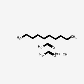 CC=O.CC=O.CCCCCCCCCC.Cl.Cl